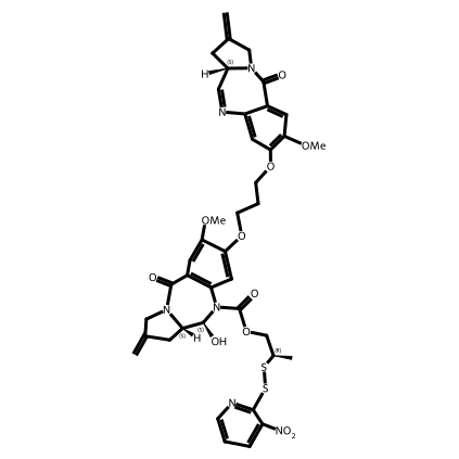 C=C1C[C@H]2C=Nc3cc(OCCCOc4cc5c(cc4OC)C(=O)N4CC(=C)C[C@H]4[C@H](O)N5C(=O)OC[C@@H](C)SSc4ncccc4[N+](=O)[O-])c(OC)cc3C(=O)N2C1